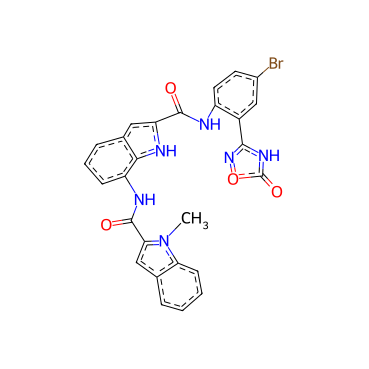 Cn1c(C(=O)Nc2cccc3cc(C(=O)Nc4ccc(Br)cc4-c4noc(=O)[nH]4)[nH]c23)cc2ccccc21